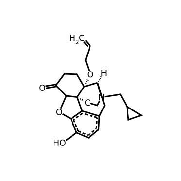 C=CCO[C@@]12CCC(=O)C3Oc4c(O)ccc5c4[C@@]31CCN(CC1CC1)[C@@H]2C5